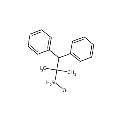 CC(C)([SiH2][O])C(c1ccccc1)c1ccccc1